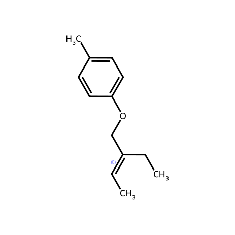 C/C=C(\CC)COc1ccc(C)cc1